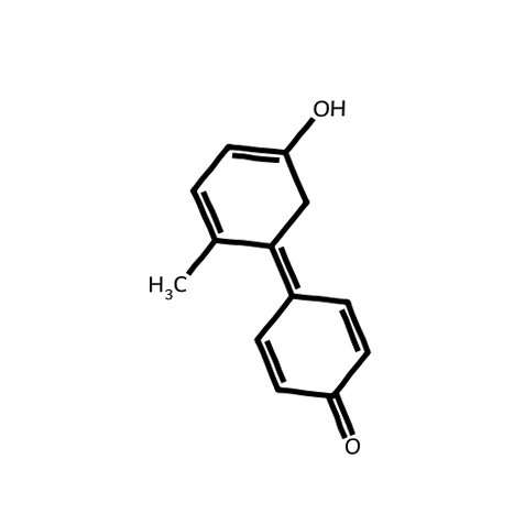 CC1=CC=C(O)CC1=C1C=CC(=O)C=C1